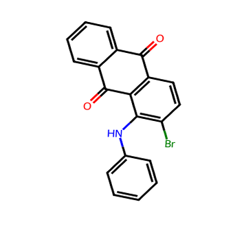 O=C1c2ccccc2C(=O)c2c1ccc(Br)c2Nc1ccccc1